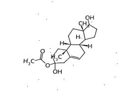 CC(=O)OC1(O)CC[C@@]2(C)C(=CC[C@@H]3[C@H]2CC[C@]2(C)C(O)CC[C@@H]32)C1